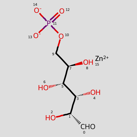 O=C[C@H](O)[C@@H](O)[C@H](O)[C@H](O)COP(=O)([O-])[O-].[Zn+2]